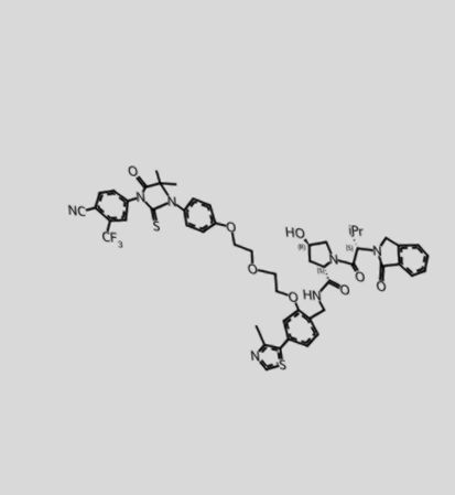 Cc1ncsc1-c1ccc(CNC(=O)[C@@H]2C[C@@H](O)CN2C(=O)[C@H](C(C)C)N2Cc3ccccc3C2=O)c(OCCOCCOc2ccc(N3C(=S)N(c4ccc(C#N)c(C(F)(F)F)c4)C(=O)C3(C)C)cc2)c1